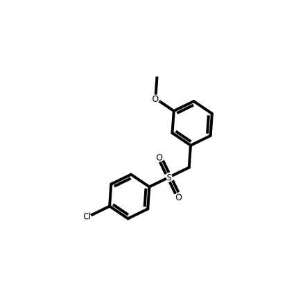 COc1cccc(CS(=O)(=O)c2ccc(Cl)cc2)c1